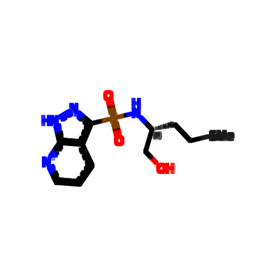 CSCC[C@H](CO)NS(=O)(=O)c1n[nH]c2ncccc12